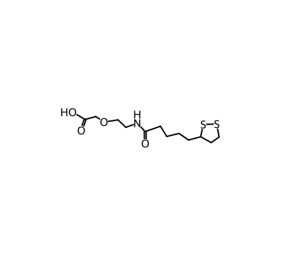 O=C(O)COCCNC(=O)CCCCC1CCSS1